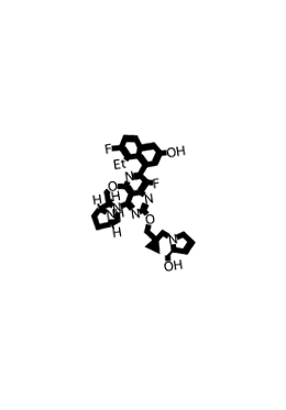 CCc1c(F)ccc2cc(O)cc(-c3nc4c5c(nc(OCC6(CN7CC=C[C@H]7CO)CC6)nc5c3F)N3C[C@H]5CC[C@H](N5)[C@@H]3CO4)c12